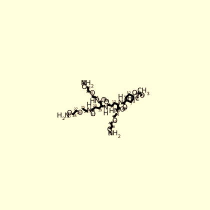 CP(C)(=O)OC1CCC(C(=O)NC(CCC(=O)NC(CCC(=O)NCCOCCON)C(=O)NCCOCCON)C(=O)NCCOCCON)CC1